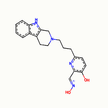 O/N=C/c1nc(CCCN2CCc3c([nH]c4ccccc34)C2)ccc1O